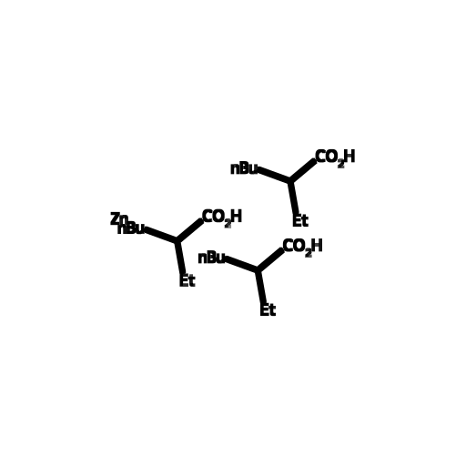 CCCCC(CC)C(=O)O.CCCCC(CC)C(=O)O.CCCCC(CC)C(=O)O.[Zn]